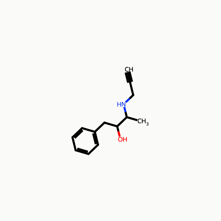 C#CCNC(C)C(O)Cc1ccccc1